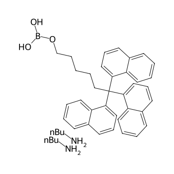 CCCCN.CCCCN.OB(O)OCCCCCC(c1cccc2ccccc12)(c1cccc2ccccc12)c1cccc2ccccc12